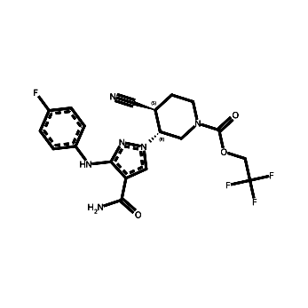 N#C[C@H]1CCN(C(=O)OCC(F)(F)F)C[C@@H]1n1cc(C(N)=O)c(Nc2ccc(F)cc2)n1